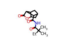 CCC(C)(C)C(=O)NC(=O)C1C2CC3OC(=O)C1C3C2